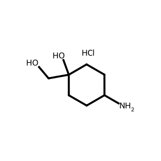 Cl.NC1CCC(O)(CO)CC1